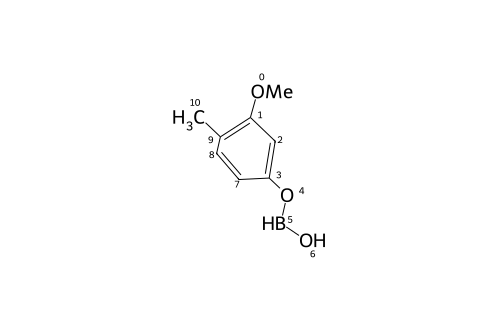 COc1cc(OBO)ccc1C